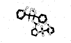 COC(OC(=O)[C@@H]1CCCN1S(=O)(=O)c1nccn1C)(c1ccccc1)C(F)(F)c1cccc[n+]1[O-]